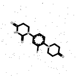 O=C1CCN(c2ccc(N3CCC(=O)NC3=O)cc2F)CC1